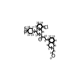 COCCN1CCc2c(CCC(=O)N(CCN3CCC(F)(F)CC3)Cc3ncccc3Cl)cccc2C1